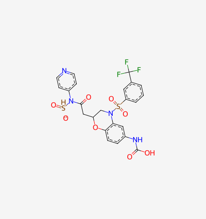 O=C(O)Nc1ccc2c(c1)N(S(=O)(=O)c1cccc(C(F)(F)F)c1)CC(CC(=O)N(c1ccncc1)[SH](=O)=O)O2